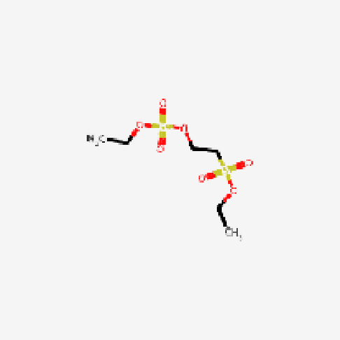 CCOS(=O)(=O)CCOS(=O)(=O)OCC